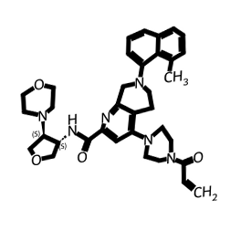 C=CC(=O)N1CCN(c2cc(C(=O)N[C@@H]3COC[C@H]3N3CCOCC3)nc3c2CCN(c2cccc4cccc(C)c24)C3)CC1